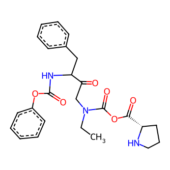 CCN(CC(=O)C(Cc1ccccc1)NC(=O)Oc1ccccc1)C(=O)OC(=O)[C@@H]1CCCN1